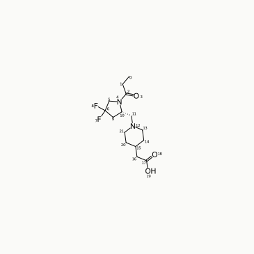 CCC(=O)N1CC(F)(F)C[C@H]1CN1CCC(CC(=O)O)CC1